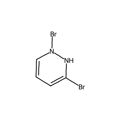 BrC1=CC=CN(Br)N1